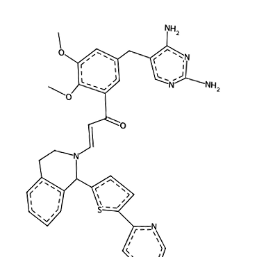 COc1cc(Cc2cnc(N)nc2N)cc(C(=O)/C=C/N2CCc3ccccc3C2c2ccc(-c3ccccn3)s2)c1OC